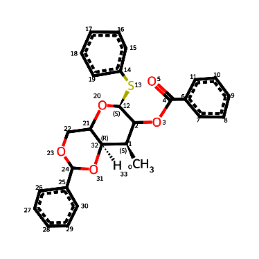 C[C@@H]1C(OC(=O)c2ccccc2)[C@H](Sc2ccccc2)OC2COC(c3ccccc3)O[C@@H]21